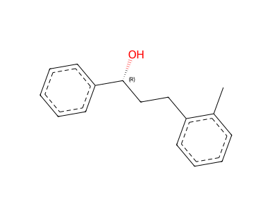 Cc1ccccc1CC[C@@H](O)c1ccccc1